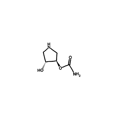 NC(=O)O[C@@H]1CNC[C@H]1O